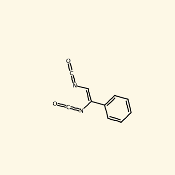 O=C=NC=C(N=C=O)c1ccccc1